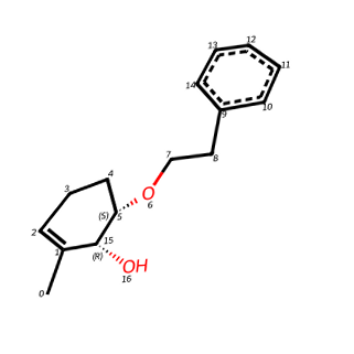 CC1=CCC[C@H](OCCc2ccccc2)[C@@H]1O